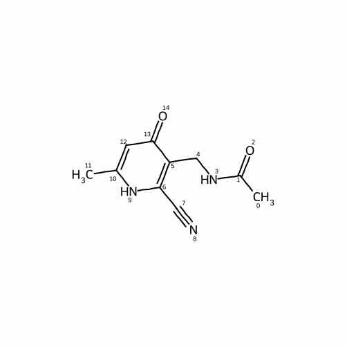 CC(=O)NCc1c(C#N)[nH]c(C)cc1=O